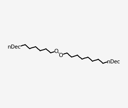 CCCCCCCCCCCCCCCCCCOOCCCCCCCCCCCCCCCC